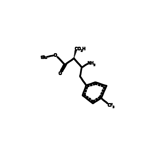 CC(C)(C)OC(=O)[C@H](C(=O)O)C(N)Cc1ccc(C(F)(F)F)cc1